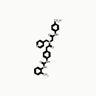 Cc1ccccc1NC(=O)Nc1ccc(CC(=O)N(CC(=O)Nc2ccc(C(=O)O)cc2)Cc2ccncc2)cc1